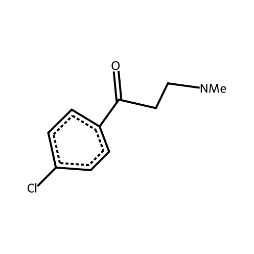 CNCCC(=O)c1ccc(Cl)cc1